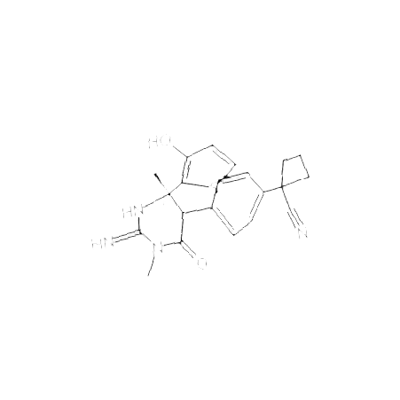 CN1C(=N)N[C@](C)(c2sccc2O)C(c2ccc(C3(C#N)CCC3)cc2)C1=O